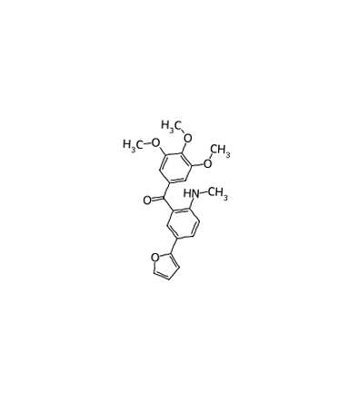 CNc1ccc(-c2ccco2)cc1C(=O)c1cc(OC)c(OC)c(OC)c1